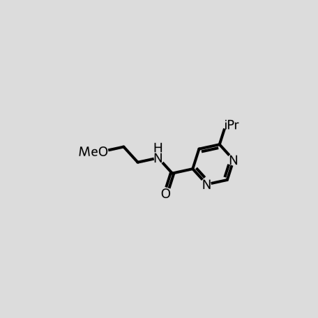 COCCNC(=O)c1cc(C(C)C)ncn1